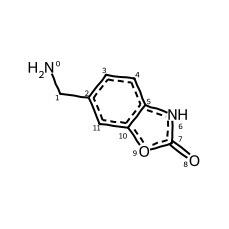 NCc1ccc2[nH]c(=O)oc2c1